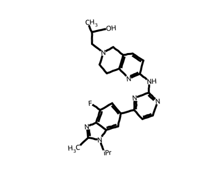 Cc1nc2c(F)cc(-c3ccnc(Nc4ccc5c(n4)CCN(CC(C)O)C5)n3)cc2n1C(C)C